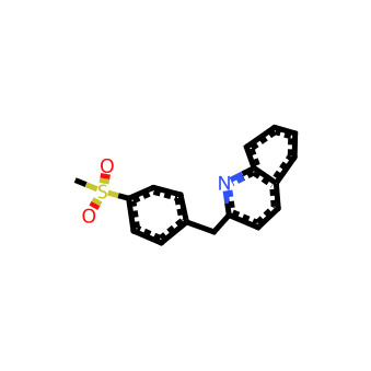 CS(=O)(=O)c1ccc(Cc2ccc3ccccc3n2)cc1